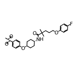 CC(C)(CCCOc1ccc(F)cc1)C(=O)N[C@H]1CC[C@H](Oc2ccc(S(C)(=O)=O)cc2)CC1